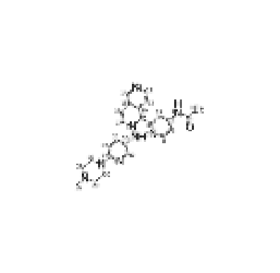 CCC(=O)Nc1ccnc(C2c3ccncc3C=CN2Nc2ccc(N3CCN(C)CC3)nc2)c1